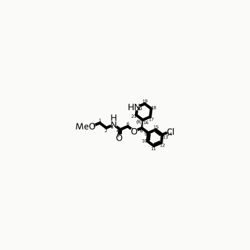 COCCNC(=O)COC(c1cccc(Cl)c1)[C@@H]1CCCNC1